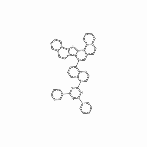 c1ccc(-c2nc(-c3ccccc3)nc(-c3cccc4c(-c5cc6ccc7ccccc7c6c6sc7c8ccccc8ccc7c56)cccc34)n2)cc1